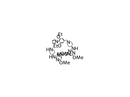 CCOc1cc(CN2CCC(Nc3nc(OC)cc(OC)n3)CC2)cc(OCC)c1-n1cccc1.COc1cc(OC)nc(NC2CCNCC2)n1